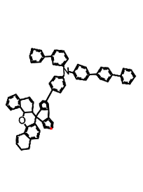 C1=Cc2c(ccc3c2OC2c4ccccc4C=CC2C32c3ccccc3-c3cc(-c4ccc(N(c5ccc(-c6ccc(-c7ccccc7)cc6)cc5)c5cccc(-c6ccccc6)c5)cc4)ccc32)CC1